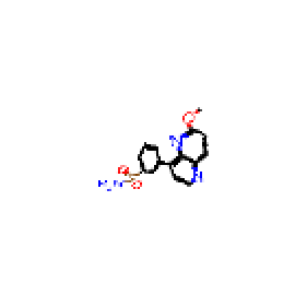 COc1ccc2nccc(-c3cccc(S(N)(=O)=O)c3)c2n1